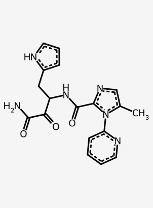 Cc1cnc(C(=O)NC(Cc2ccc[nH]2)C(=O)C(N)=O)n1-c1ccccn1